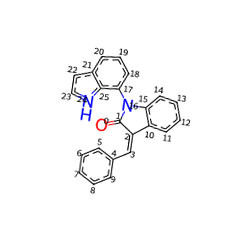 O=C1C(=Cc2ccccc2)c2ccccc2N1c1cccc2cc[nH]c12